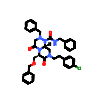 O=C1[C@H](COCc2ccccc2)N2C(=O)CN(Cc3ccccc3)N(C(=O)NCc3ccccc3)[C@H]2CN1CCc1ccc(Cl)cc1